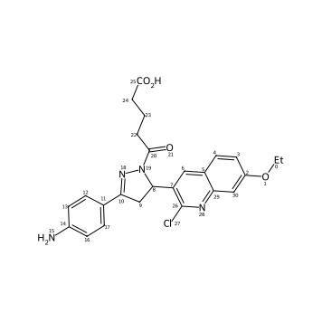 CCOc1ccc2cc(C3CC(c4ccc(N)cc4)=NN3C(=O)CCCC(=O)O)c(Cl)nc2c1